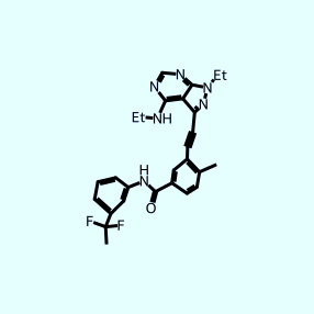 CCNc1ncnc2c1c(C#Cc1cc(C(=O)Nc3cccc(C(C)(F)F)c3)ccc1C)nn2CC